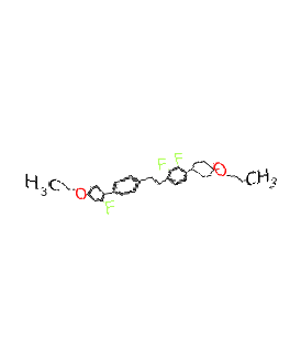 CCCCOc1ccc(-c2ccc(CCc3ccc(C4CCC(OCCCC)CC4)c(F)c3F)cc2)c(F)c1